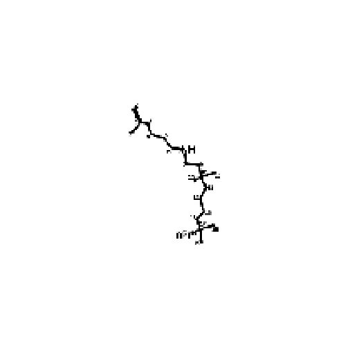 C=C(C)CCCCNCCC(C)(C)CCCCC(C)(C)CCC